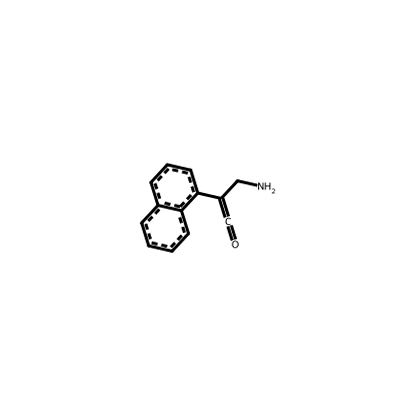 NCC(=C=O)c1cccc2ccccc12